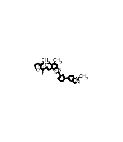 C\C=C1/CCCO/C1=C(F)/C=C/c1c(CC(=O)O)c(C)cc2nc(-c3cccc(-c4ccc5c(cnn5C)c4)c3)sc12